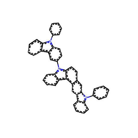 c1ccc(-n2c3ccccc3c3cc(-n4c5ccccc5c5c6cc7c8ccccc8n(-c8ccccc8)c7cc6ccc54)ccc32)cc1